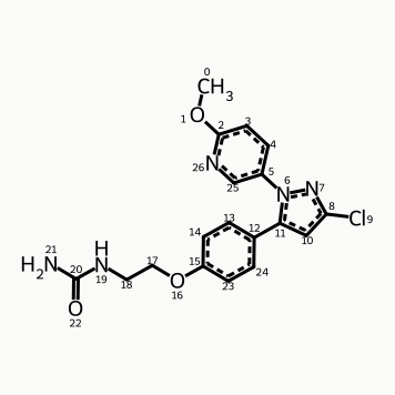 COc1ccc(-n2nc(Cl)cc2-c2ccc(OCCNC(N)=O)cc2)cn1